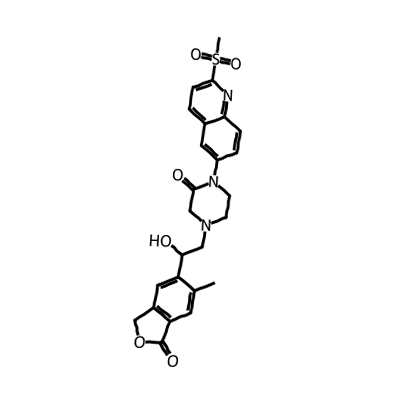 Cc1cc2c(cc1C(O)CN1CCN(c3ccc4nc(S(C)(=O)=O)ccc4c3)C(=O)C1)COC2=O